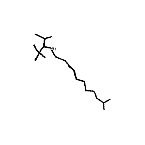 CC(C)CCCCCCCCCNC(C(C)C)C(C)(C)C